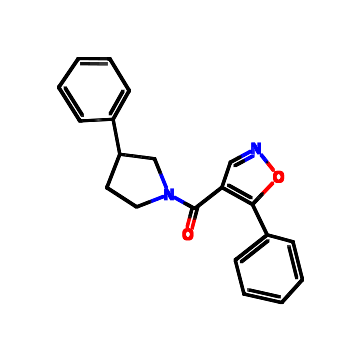 O=C(c1cnoc1-c1ccccc1)N1CCC(c2ccccc2)C1